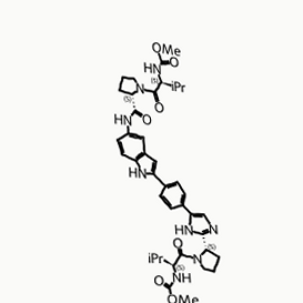 COC(=O)N[C@H](C(=O)N1CCC[C@H]1C(=O)Nc1ccc2[nH]c(-c3ccc(-c4cnc([C@@H]5CCCN5C(=O)[C@@H](NC(=O)OC)C(C)C)[nH]4)cc3)cc2c1)C(C)C